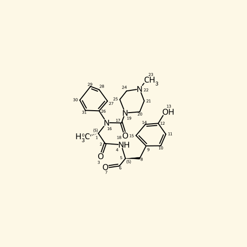 C[C@@H](C(=O)N[C@H](C=O)Cc1ccc(O)cc1)N(C(=O)N1CCN(C)CC1)c1ccccc1